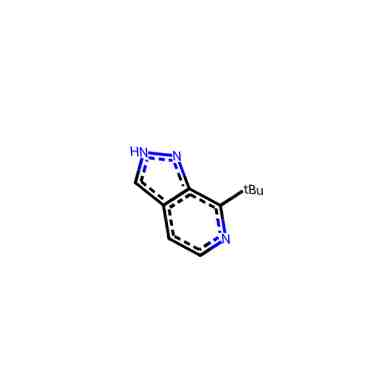 CC(C)(C)c1nccc2c[nH]nc12